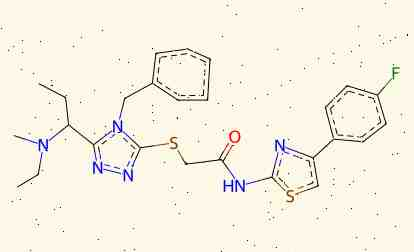 CCC(c1nnc(SCC(=O)Nc2nc(-c3ccc(F)cc3)cs2)n1Cc1ccccc1)N(C)CC